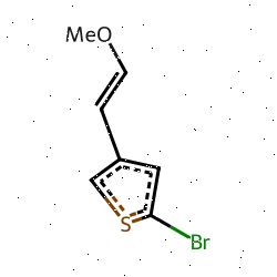 CO/C=C/c1csc(Br)c1